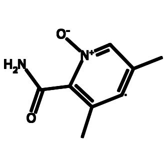 Cc1[c]c(C)c(C(N)=O)[n+]([O-])c1